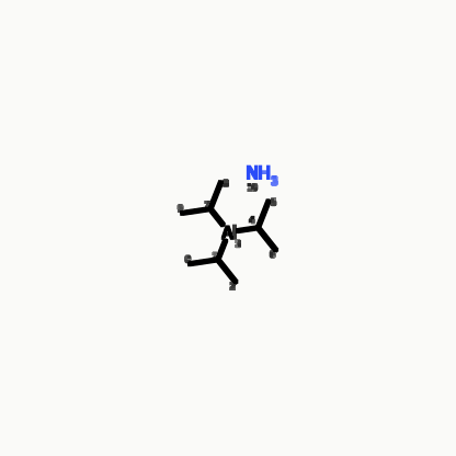 C[CH](C)[Al]([CH](C)C)[CH](C)C.N